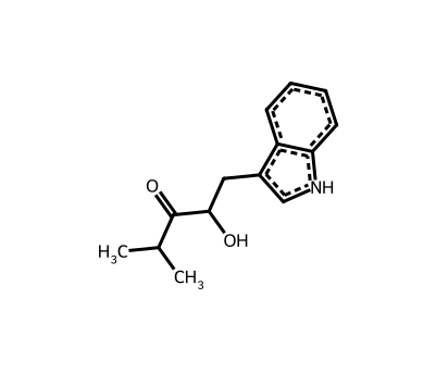 CC(C)C(=O)C(O)Cc1c[nH]c2ccccc12